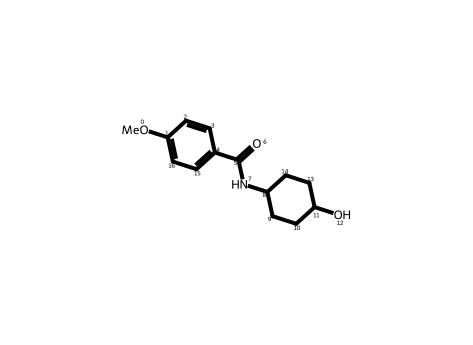 COc1ccc(C(=O)NC2CCC(O)CC2)cc1